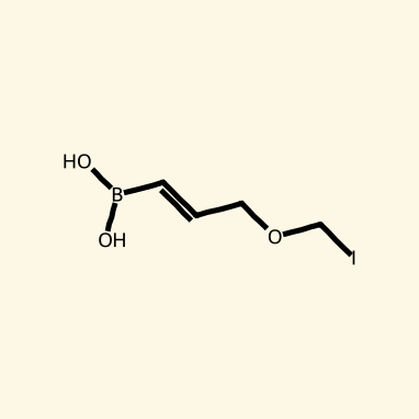 OB(O)C=CCOCI